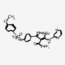 COc1ccc(S(=O)(=O)Nc2ccc(-c3n[nH]c(Nc4cnccn4)c3C(N)=O)cc2)cc1